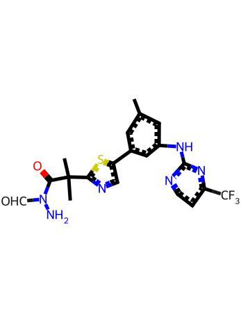 Cc1cc(Nc2nccc(C(F)(F)F)n2)cc(-c2cnc(C(C)(C)C(=O)N(N)C=O)s2)c1